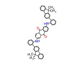 CC1(C)c2ccccc2-c2ccc(-c3ccccc3NC3=CC4C(=O)c5ccc(Nc6ccccc6-c6ccc7c(c6)C(C)(C)c6ccccc6-7)cc5C(=O)C4C=C3)cc21